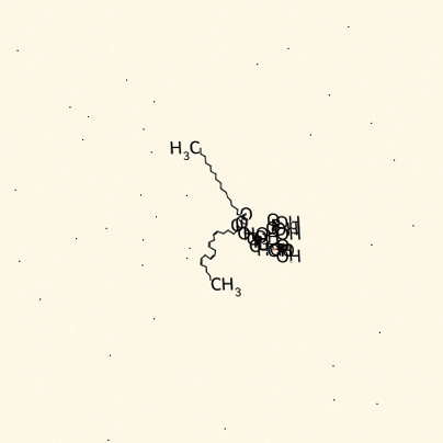 CCCCC/C=C\C/C=C\C/C=C\C/C=C\CCCC(=O)O[C@H](COC(=O)CCCCCCCCCCCCCCCCC)COP(=O)(O)OC1C(O)C(OP(=O)(O)O)C(O)[C@@H](OP(=O)(O)O)C1O